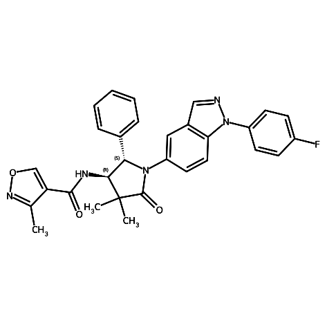 Cc1nocc1C(=O)N[C@H]1[C@H](c2ccccc2)N(c2ccc3c(cnn3-c3ccc(F)cc3)c2)C(=O)C1(C)C